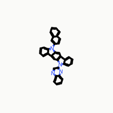 c1ccc2cc(-n3c4ccccc4c4cc5c(cc43)c3ccccc3n5-c3cnc4ccccc4n3)ccc2c1